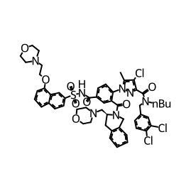 CCCCN(Cc1ccc(Cl)c(Cl)c1)C(=O)c1nn(-c2ccc(C(=O)NS(=O)(=O)c3ccc4cccc(OCCN5CCOCC5)c4c3)cc2C(=O)N2Cc3ccccc3C[C@H]2CN2CCOCC2)c(C)c1Cl